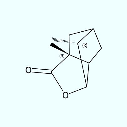 C[C@@H]1C2CC3C1OC(=O)[C@]3(C)C2